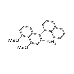 COc1cccc2c(-c3cccc4ccccc34)c(N)cc(OC)c12